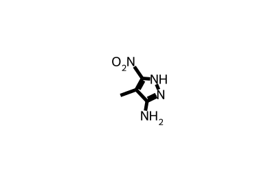 Cc1c(N)n[nH]c1[N+](=O)[O-]